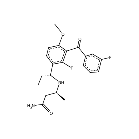 CC[C@@H](N[C@@H](C)CC(N)=O)c1ccc(OC)c(C(=O)c2cccc(F)c2)c1F